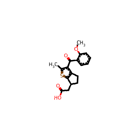 COc1ccccc1C(=O)c1c(C)sc2c1CCC2CC(=O)O